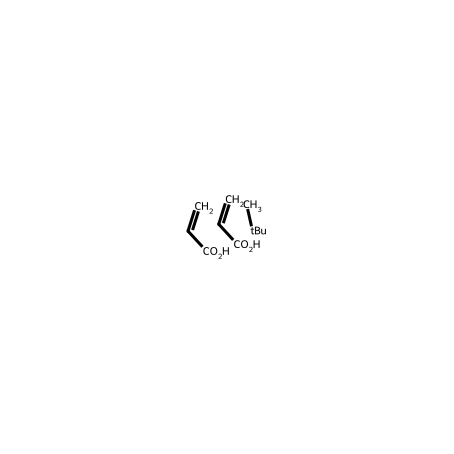 C=CC(=O)O.C=CC(=O)O.CC(C)(C)C